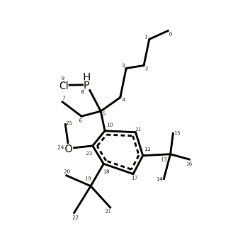 CCCCCC(CC)(PCl)c1cc(C(C)(C)C)cc(C(C)(C)C)c1OC